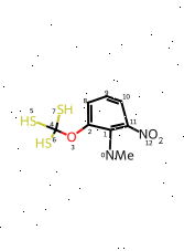 CNc1c(OC(S)(S)S)cccc1[N+](=O)[O-]